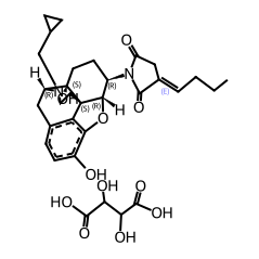 CCC/C=C1\CC(=O)N([C@@H]2CC[C@@]3(O)[C@H]4Cc5ccc(O)c6c5[C@@]3(CCN4CC3CC3)[C@H]2O6)C1=O.O=C(O)C(O)C(O)C(=O)O